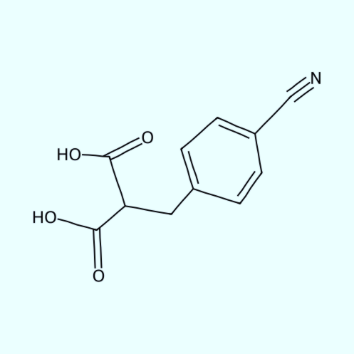 N#Cc1ccc(CC(C(=O)O)C(=O)O)cc1